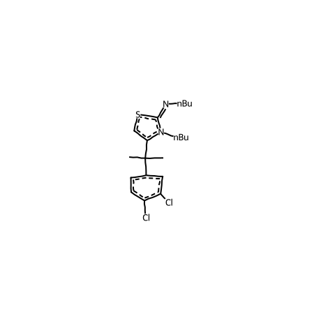 CCCC/N=c1/scc(C(C)(C)c2ccc(Cl)c(Cl)c2)n1CCCC